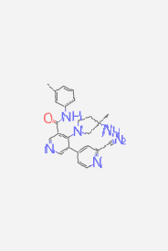 Cc1cccc(NC(=O)c2cncc(-c3ccnc(C#N)c3)c2N2CC[C@](C)(N)C2)c1